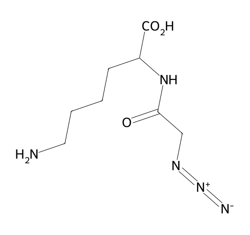 [N-]=[N+]=NCC(=O)NC(CCCCN)C(=O)O